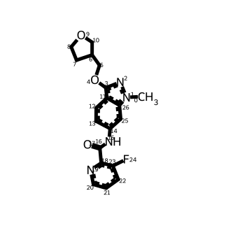 Cn1nc(OCC2CCOC2)c2ccc(NC(=O)c3ncccc3F)cc21